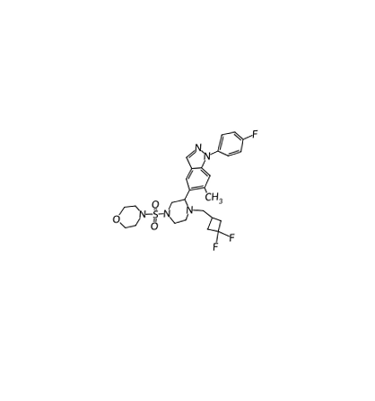 Cc1cc2c(cnn2-c2ccc(F)cc2)cc1C1CN(S(=O)(=O)N2CCOCC2)CCN1CC1CC(F)(F)C1